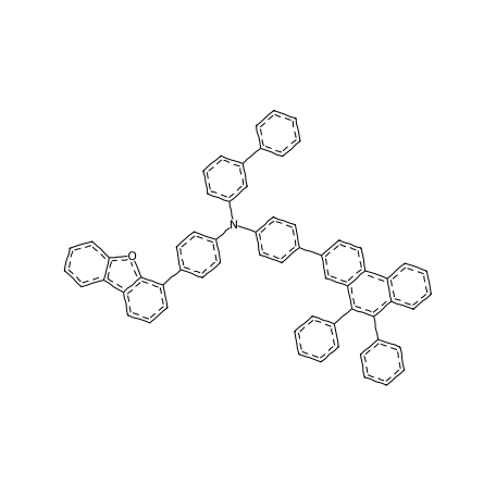 c1ccc(-c2cccc(N(c3ccc(-c4ccc5c(c4)c(-c4ccccc4)c(-c4ccccc4)c4ccccc45)cc3)c3ccc(-c4cccc5c4oc4ccccc45)cc3)c2)cc1